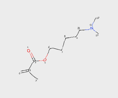 C=C(C)C(=O)OCCCCCN(C)C